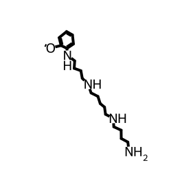 COc1ccccc1NCCCCNCCCCCNCCCCN